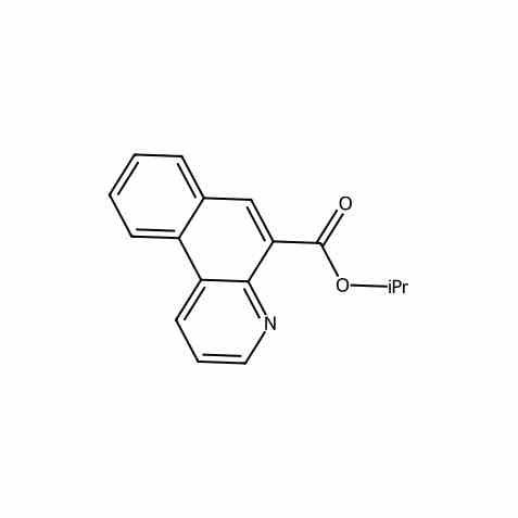 CC(C)OC(=O)c1cc2ccccc2c2cccnc12